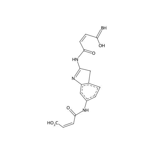 B=C(O)/C=C\C(=O)NC1=Nc2cc(NC(=O)/C=C\C(=O)O)ccc2C1